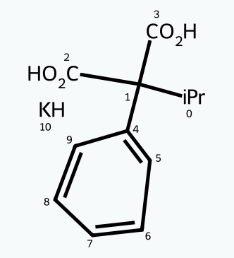 CC(C)C(C(=O)O)(C(=O)O)c1ccccc1.[KH]